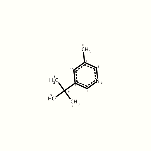 Cc1cncc(C(C)(C)O)c1